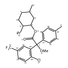 COC(C(=O)OC1CC(C)CCC1C(C)C)(c1ccc(C)cc1)c1cc(C(F)(F)F)ccc1Cl